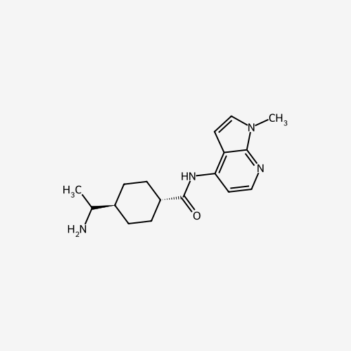 CC(N)[C@H]1CC[C@H](C(=O)Nc2ccnc3c2ccn3C)CC1